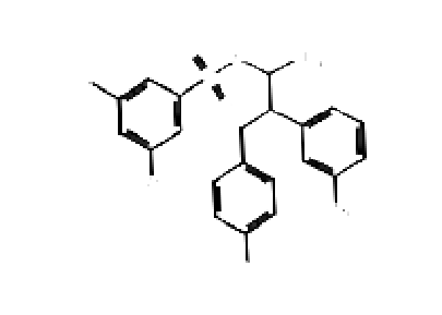 CC(NS(=O)(=O)c1cc(Cl)cc(Cl)c1)C(Cc1ccc(Cl)cc1)c1cccc(C#N)c1